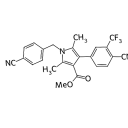 COC(=O)c1c(-c2ccc(C#N)c(C(F)(F)F)c2)c(C)n(Cc2ccc(C#N)cc2)c1C